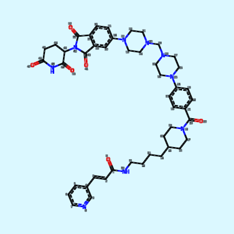 O=C(/C=C/c1cccnc1)NCCCCC1CCN(C(=O)c2ccc(N3CCN(CN4CCN(c5ccc6c(c5)C(=O)N(C5CCC(=O)NC5=O)C6=O)CC4)CC3)cc2)CC1